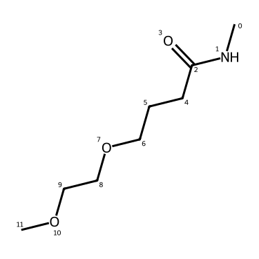 CNC(=O)CCCOCCOC